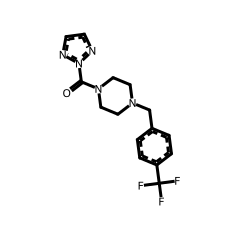 O=C(N1CCN(Cc2ccc(C(F)(F)F)cc2)CC1)n1nccn1